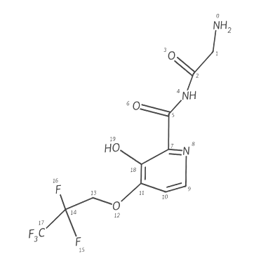 NCC(=O)NC(=O)c1nccc(OCC(F)(F)C(F)(F)F)c1O